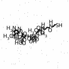 COc1nc(N)c2ncn([C@@H]3O[C@H](COP(=O)(O)OP(=O)(O)OCC(C)(C)[C@@H](O)C(=O)NCCC(=O)NCCS)[C@@H](OP(=O)(O)O)[C@H]3O)c2n1